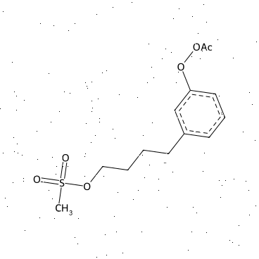 CC(=O)OOc1cccc(CCCCOS(C)(=O)=O)c1